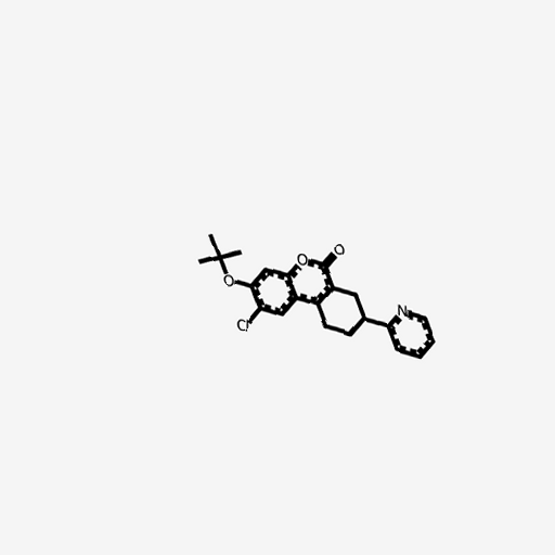 CC(C)(C)Oc1cc2oc(=O)c3c(c2cc1Cl)CCC(c1ccccn1)C3